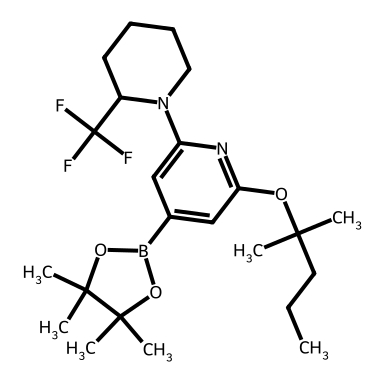 CCCC(C)(C)Oc1cc(B2OC(C)(C)C(C)(C)O2)cc(N2CCCCC2C(F)(F)F)n1